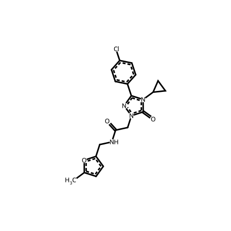 Cc1ccc(CNC(=O)Cn2nc(-c3ccc(Cl)cc3)n(C3CC3)c2=O)o1